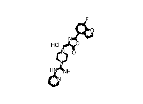 Cl.N=C(Nc1ccccn1)N1CCN(/C=C2/N=C(c3ccc(F)c4occc34)OC2=O)CC1